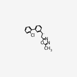 Cc1nnc(C[CH]c2cccc(-c3ccccc3Cl)c2)o1